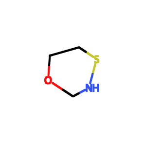 C1CSNCO1